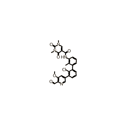 COc1cc(-c2cccc(-c3cccc(NC(=O)c4cn(C)c(=O)n(C)c4=O)c3C)c2Cl)cnc1C=O